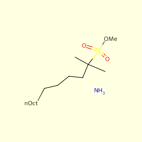 CCCCCCCCCCCCC(C)(C)S(=O)(=O)OC.N